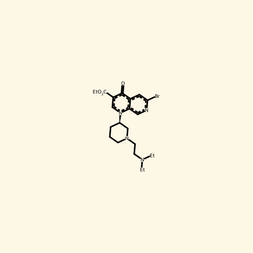 CCOC(=O)c1cn([C@@H]2CCCN(CCN(CC)CC)C2)c2cnc(Br)cc2c1=O